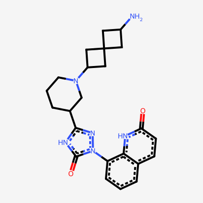 NC1CC2(C1)CC(N1CCCC(c3nn(-c4cccc5ccc(=O)[nH]c45)c(=O)[nH]3)C1)C2